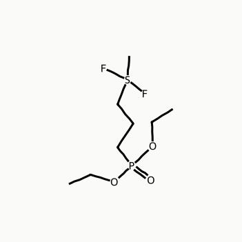 CCOP(=O)(CCCS(C)(F)F)OCC